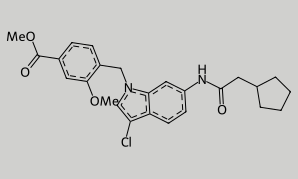 COC(=O)c1ccc(Cn2cc(Cl)c3ccc(NC(=O)CC4CCCC4)cc32)c(OC)c1